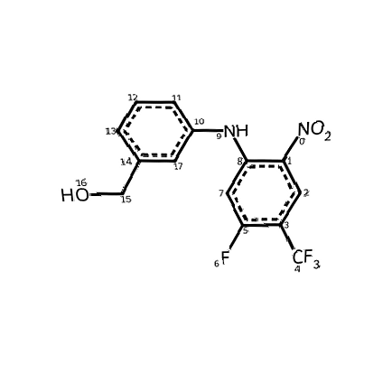 O=[N+]([O-])c1cc(C(F)(F)F)c(F)cc1Nc1cccc(CO)c1